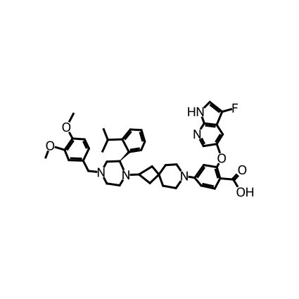 COc1ccc(CN2CCN(C3CC4(CCN(c5ccc(C(=O)O)c(Oc6cnc7[nH]cc(F)c7c6)c5)CC4)C3)[C@H](c3ccccc3C(C)C)C2)cc1OC